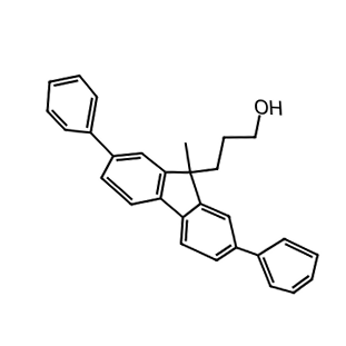 CC1(CCCO)c2cc(-c3ccccc3)ccc2-c2ccc(-c3ccccc3)cc21